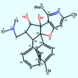 CCN(CC)CC1C(O)C2(O)c3c(cc(C#N)nc3OC)OC2(c2ccc(C#N)cc2)C1c1ccccc1